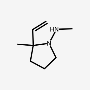 C=CC1(C)CCCN1NC